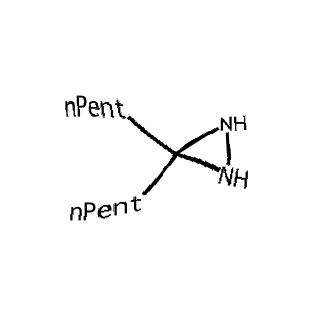 CCCCCC1(CCCCC)NN1